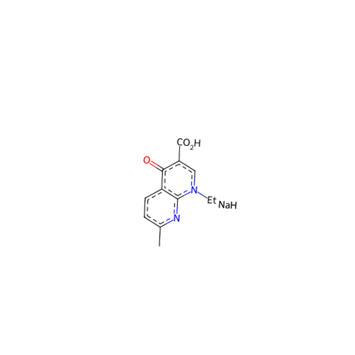 CCn1cc(C(=O)O)c(=O)c2ccc(C)nc21.[NaH]